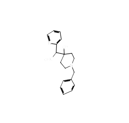 O=CC(c1ccccn1)C1(O)CCN(Cc2ccccc2)CC1